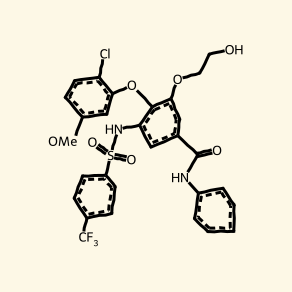 COc1ccc(Cl)c(Oc2c(NS(=O)(=O)c3ccc(C(F)(F)F)cc3)cc(C(=O)Nc3ccccc3)cc2OCCO)c1